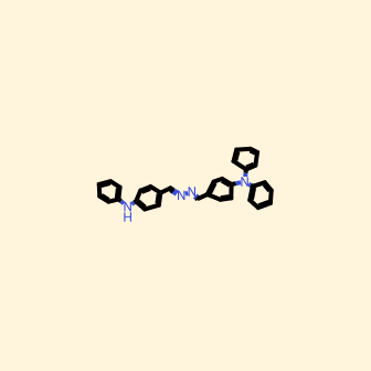 C(=N\N=C\c1ccc(N(c2ccccc2)c2ccccc2)cc1)/c1ccc(Nc2ccccc2)cc1